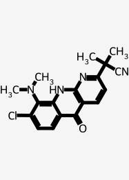 CN(C)c1c(Cl)ccc2c(=O)c3ccc(C(C)(C)C#N)nc3[nH]c12